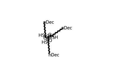 CCCCCCCCCCCCCCCCCCC(S)C(=O)OP(OC(=O)C(S)CCCCCCCCCCCCCCCCCC)OC(=O)C(S)CCCCCCCCCCCCCCCCCC